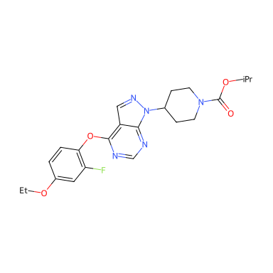 CCOc1ccc(Oc2ncnc3c2cnn3C2CCN(C(=O)OC(C)C)CC2)c(F)c1